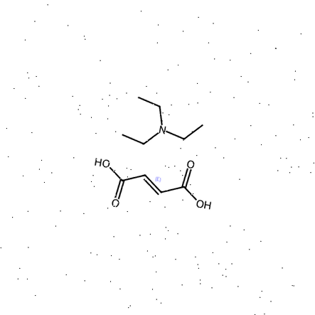 CCN(CC)CC.O=C(O)/C=C/C(=O)O